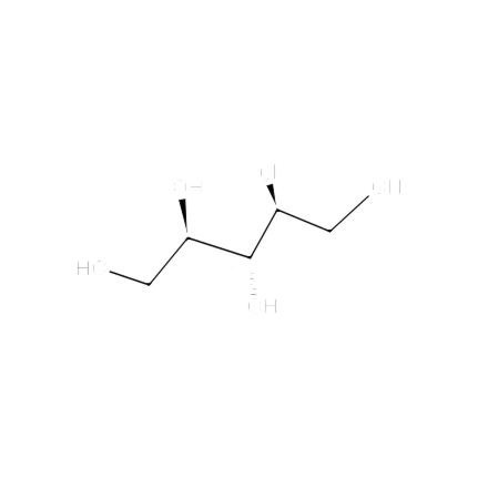 OC[C@@H](O)[C@@H](O)[C@@H](Cl)CO